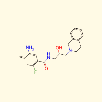 C=C/C(N)=C\C(C(=O)NCC(O)CN1CCc2ccccc2C1)=C(/C)F